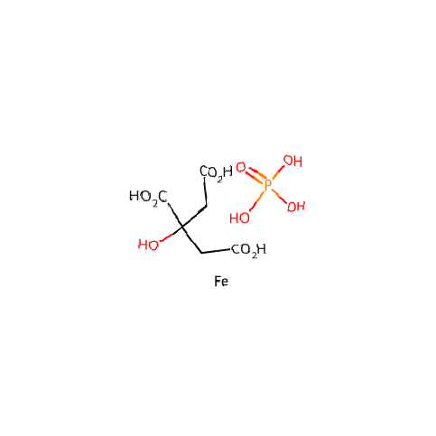 O=C(O)CC(O)(CC(=O)O)C(=O)O.O=P(O)(O)O.[Fe]